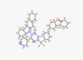 CC1(C)C2=C(NC(n3c4ccccc4c4cc5ccccc5cc43)C(c3ccncc3)=N2)c2cc(-c3ccc4oc5ccccc5c4c3)ccc21